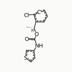 C[C@@H](OC(=O)Nc1ccsc1)c1ccccc1Cl